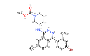 COc1cc(Br)ccc1-c1nnc(NC2CCCN(C(=O)OC(C)(C)C)C2)c2cc(C)ccc12